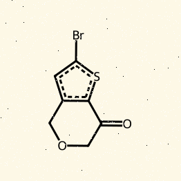 O=C1COCc2cc(Br)sc21